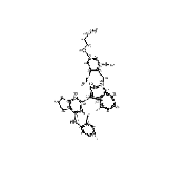 Cc1cnccc1Nc1nc(-c2nn(Cc3c(F)cc(OCCO)cc3F)c3ccccc23)nc2c1CCC2